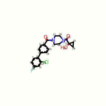 O=C(c1ccc(-c2ccc(F)cc2Cl)cc1)N1CCN(C(=O)C2(O)CC2)CC1